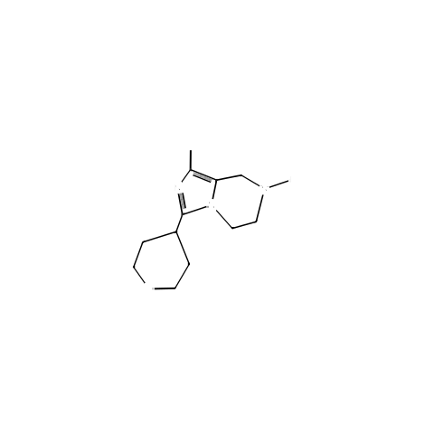 CCN1CCn2c(C3CCOCC3)nc(I)c2C1